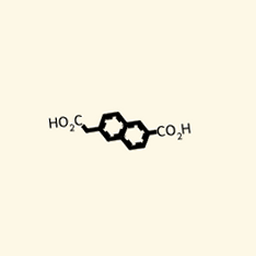 O=C(O)Cc1ccc2cc(C(=O)O)ccc2c1